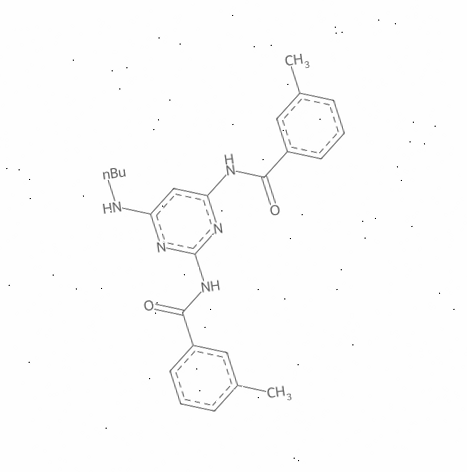 CCCCNc1cc(NC(=O)c2cccc(C)c2)nc(NC(=O)c2cccc(C)c2)n1